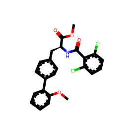 COC(=O)[C@H](Cc1ccc(-c2ccccc2OC)cc1)NC(=O)c1c(Cl)cccc1Cl